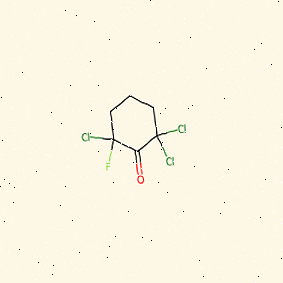 O=C1C(F)(Cl)CCCC1(Cl)Cl